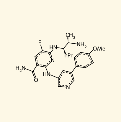 CCC[C@@H](Nc1nc(Nc2cncc(-c3ccc(OC)cc3)c2)c(C(N)=O)cc1F)[C@H](C)N